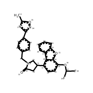 Cc1nc(-c2ccc(CN3CC(c4ccc(OC(F)F)c5oc6ccccc6c45)CC3=O)cc2)no1